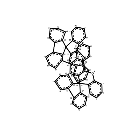 c1ccc2c(c1)Oc1c(cc(-c3cccc4c3C3(c5ccccc5-c5cc6ccccc6cc53)c3ccccc3-4)c3ccccc13)C21c2ccccc2-c2ccccc21